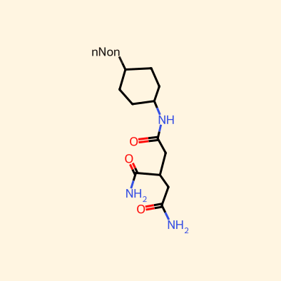 CCCCCCCCCC1CCC(NC(=O)CC(CC(N)=O)C(N)=O)CC1